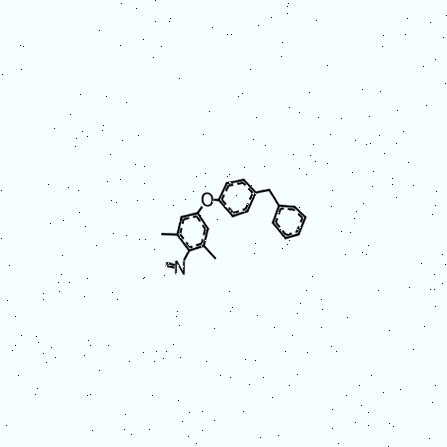 C=Nc1c(C)cc(Oc2ccc(Cc3ccccc3)cc2)cc1C